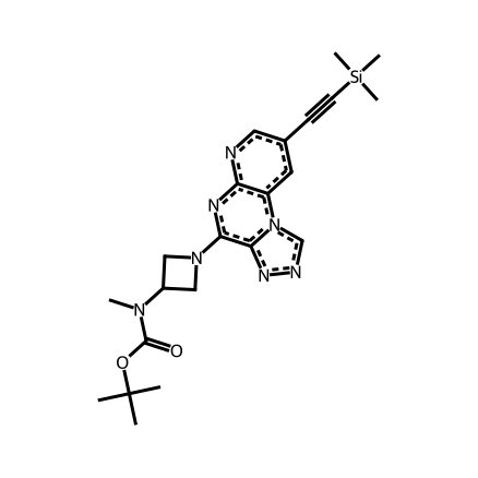 CN(C(=O)OC(C)(C)C)C1CN(c2nc3ncc(C#C[Si](C)(C)C)cc3n3cnnc23)C1